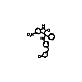 O=C1CCN(Cc2ccc(NC(=C3C(=O)Nc4ccc([N+](=O)[O-])cc43)c3ccccc3)cc2)C1